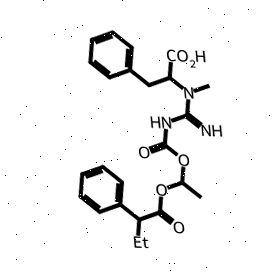 CCC(C(=O)OC(C)OC(=O)NC(=N)N(C)C(Cc1ccccc1)C(=O)O)c1ccccc1